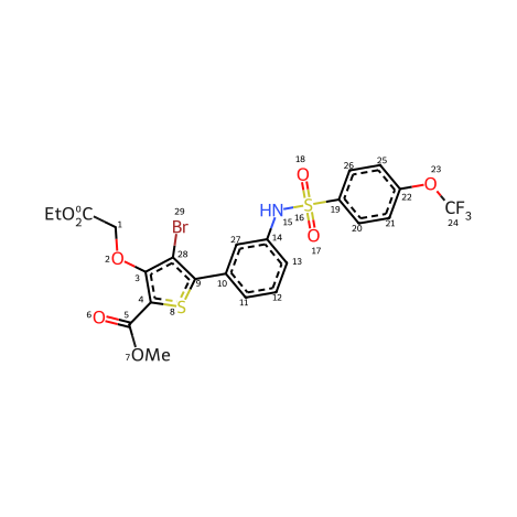 CCOC(=O)COc1c(C(=O)OC)sc(-c2cccc(NS(=O)(=O)c3ccc(OC(F)(F)F)cc3)c2)c1Br